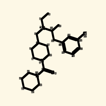 CCN(CC1CCN(C(=O)N2CCCCC2)CC1)C(C)Cc1cccc(Cl)c1